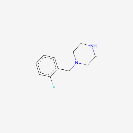 Fc1ccccc1CN1C[CH]NCC1